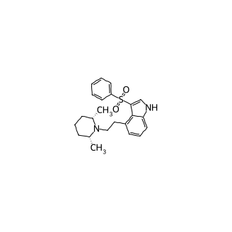 C[C@@H]1CCC[C@H](C)N1CCc1cccc2[nH]cc(S(=O)(=O)c3ccccc3)c12